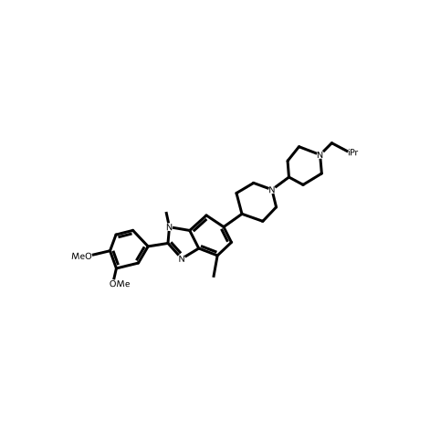 COc1ccc(-c2nc3c(C)cc(C4CCN(C5CCN(CC(C)C)CC5)CC4)cc3n2C)cc1OC